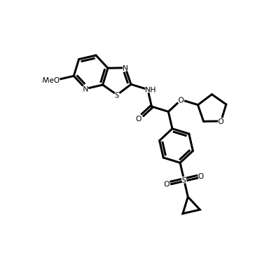 COc1ccc2nc(NC(=O)C(OC3CCOC3)c3ccc(S(=O)(=O)C4CC4)cc3)sc2n1